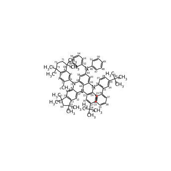 Cc1cc2c(cc1N1c3cc4c(cc3B3c5cc(C(C)(C)C)ccc5N(c5ccc(C(C)(C)C)cc5-c5ccccc5)c5cc(N(c6ccccc6)c6ccccc6)cc1c53)C(C)(C)CC4(C)C)C(C)(C)CCC2(C)C